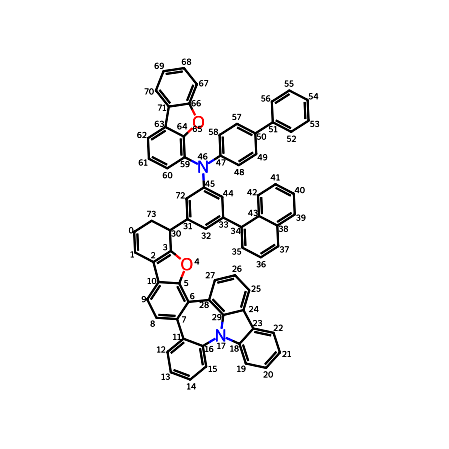 C1=Cc2c(oc3c4c(ccc23)-c2ccccc2-n2c3ccccc3c3cccc-4c32)C(c2cc(-c3cccc4ccccc34)cc(N(c3ccc(-c4ccccc4)cc3)c3cccc4c3oc3ccccc34)c2)C1